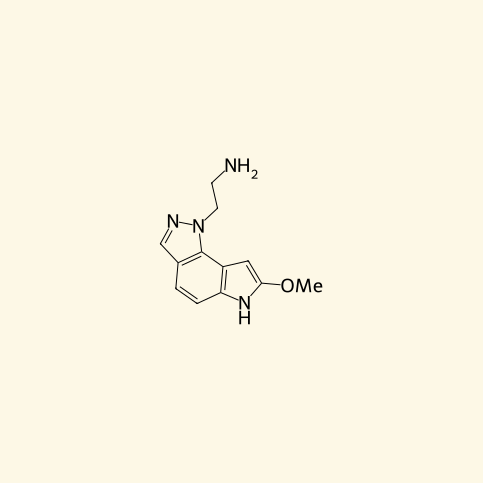 COc1cc2c(ccc3cnn(CCN)c32)[nH]1